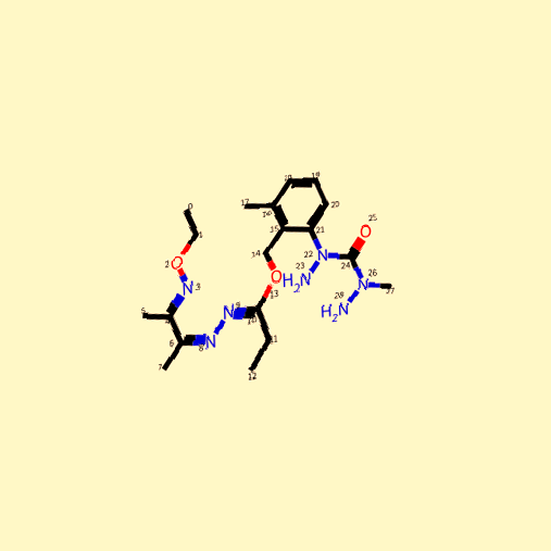 CCON=C(C)C(C)=NN=C(CC)OCc1c(C)cccc1N(N)C(=O)N(C)N